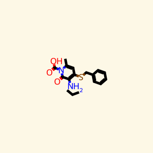 CCC.Cc1cc(SCc2ccccc2)c(N)c(=O)n1C(=O)O